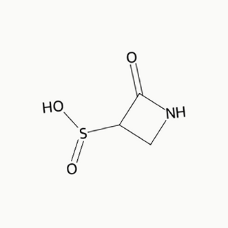 O=C1NCC1S(=O)O